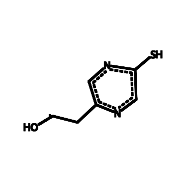 O[C]Cc1cnc(S)cn1